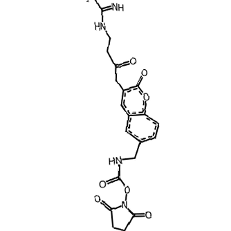 N=C(N)NCCC(=O)Cc1cc2cc(CNC(=O)ON3C(=O)CCC3=O)ccc2oc1=O